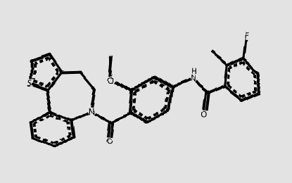 COc1cc(NC(=O)c2cccc(F)c2C)ccc1C(=O)N1CCc2ccsc2-c2ccccc21